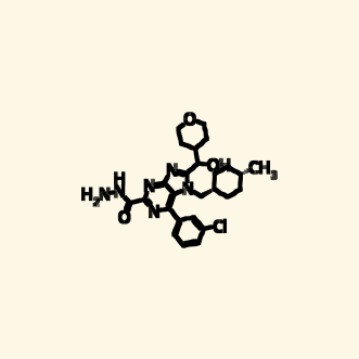 C[C@H]1CC[C@H](Cn2c(C(O)C3CCOCC3)nc3nc(C(=O)NN)nc(-c4cccc(Cl)c4)c32)CC1